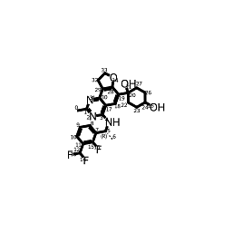 Cc1nc(N[C@H](C)c2cccc(C(F)F)c2F)c2cc(C3(O)CCC(O)CC3)c3c(c2n1)CCO3